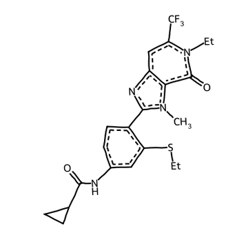 CCSc1cc(NC(=O)C2CC2)ccc1-c1nc2cc(C(F)(F)F)n(CC)c(=O)c2n1C